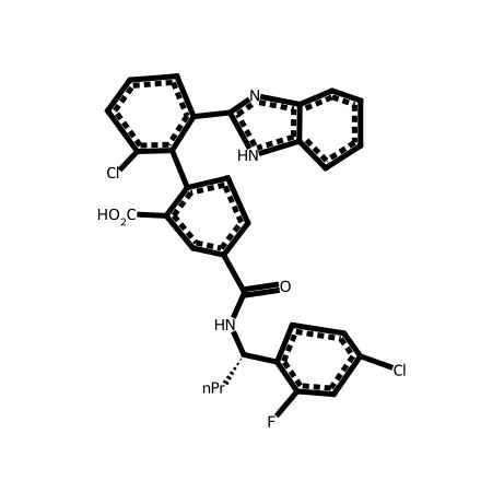 CCC[C@H](NC(=O)c1ccc(-c2c(Cl)cccc2-c2nc3ccccc3[nH]2)c(C(=O)O)c1)c1ccc(Cl)cc1F